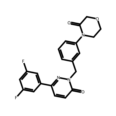 O=C1COCCN1c1cccc(Cn2nc(-c3cc(F)cc(F)c3)ccc2=O)c1